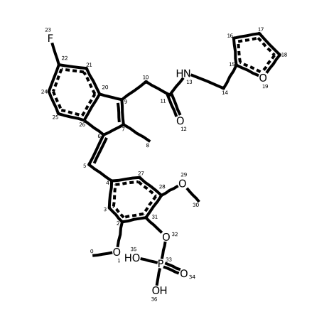 COc1cc(C=C2C(C)=C(CC(=O)NCc3ccco3)c3cc(F)ccc32)cc(OC)c1OP(=O)(O)O